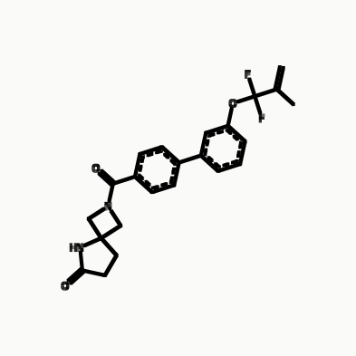 C=C(C)C(F)(F)Oc1cccc(-c2ccc(C(=O)N3CC4(CCC(=O)N4)C3)cc2)c1